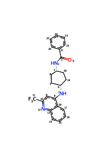 O=C(N[C@H]1CC[C@@H](Nc2cc(C(F)(F)F)nc3ccccc23)CC1)c1ccccc1